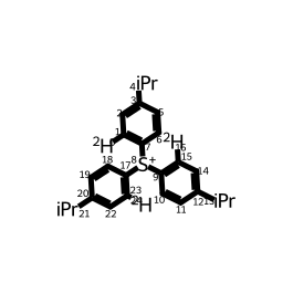 [2H]c1cc(C(C)C)ccc1[S+](c1ccc(C(C)C)cc1[2H])c1ccc(C(C)C)cc1[2H]